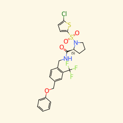 O=C(NCc1ccc(COc2ccccc2)cc1C(F)(F)F)[C@@H]1CCCN1S(=O)(=O)c1ccc(Cl)s1